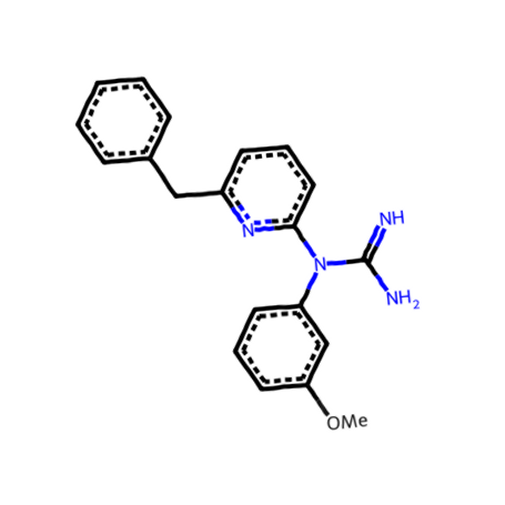 COc1cccc(N(C(=N)N)c2cccc(Cc3ccccc3)n2)c1